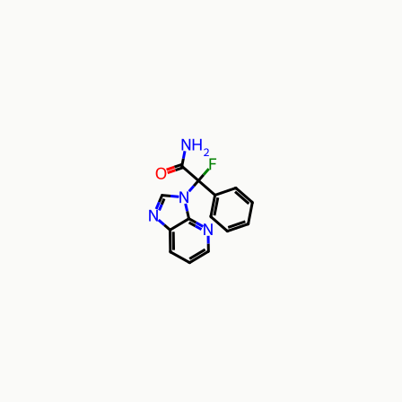 NC(=O)C(F)(c1ccccc1)n1cnc2cccnc21